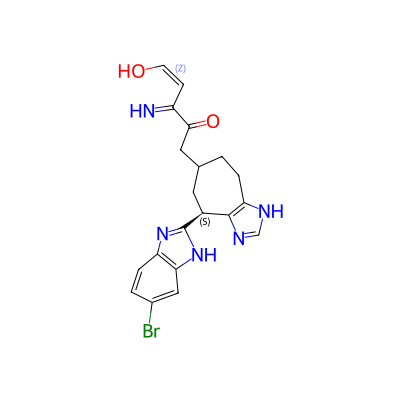 N=C(/C=C\O)C(=O)CC1CCc2[nH]cnc2[C@@H](c2nc3ccc(Br)cc3[nH]2)C1